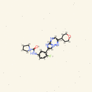 O=C(Nc1ccc(F)c(-c2cn3nc(C4CCOCC4)cnc3n2)c1)N1CCCC1